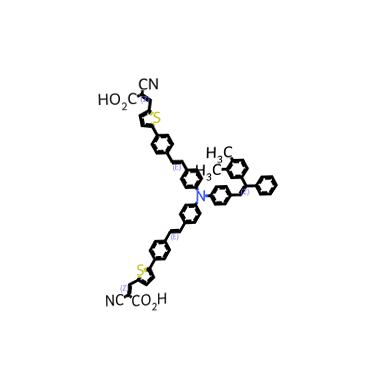 Cc1ccc(/C(=C\c2ccc(N(c3ccc(/C=C/c4ccc(-c5ccc(/C=C(/C#N)C(=O)O)s5)cc4)cc3)c3ccc(/C=C/c4ccc(-c5ccc(/C=C(/C#N)C(=O)O)s5)cc4)cc3)cc2)c2ccccc2)cc1C